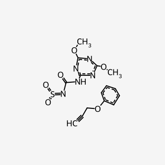 C#CCOc1ccccc1.COc1nc(NC(=O)N=S(=O)=O)nc(OC)n1